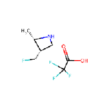 C[C@@H]1NC[C@@H]1CF.O=C(O)C(F)(F)F